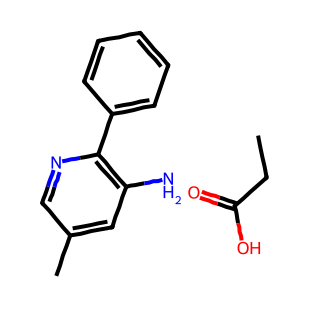 CCC(=O)O.Cc1cnc(-c2ccccc2)c(N)c1